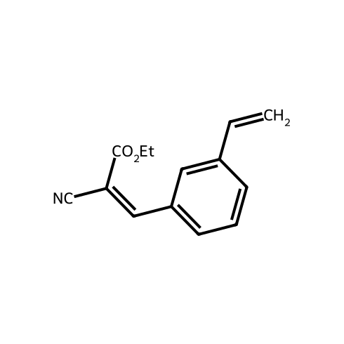 C=Cc1cccc(C=C(C#N)C(=O)OCC)c1